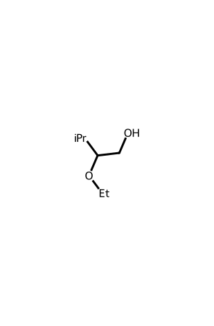 CCOC(CO)C(C)C